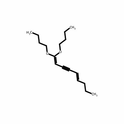 CCC/C=C/C#CC=C(OCCCC)OCCCC